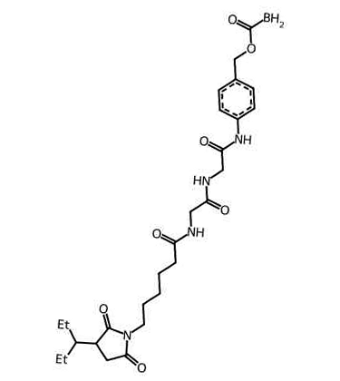 BC(=O)OCc1ccc(NC(=O)CNC(=O)CNC(=O)CCCCCN2C(=O)CC(C(CC)CC)C2=O)cc1